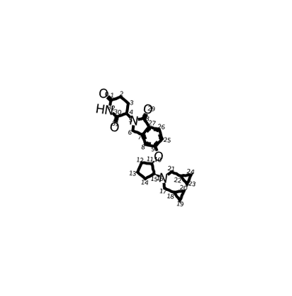 O=C1CCC(N2Cc3cc(O[C@H]4CCC[C@@H]4N(CC4CC4)CC4CC4)ccc3C2=O)C(=O)N1